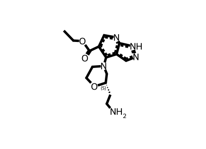 CCOC(=O)c1cnc2[nH]ncc2c1N1CCO[C@@H](CCN)C1